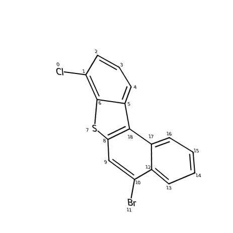 Clc1cccc2c1sc1cc(Br)c3ccccc3c12